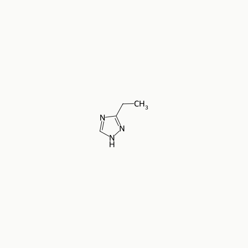 CCc1nc[nH]n1